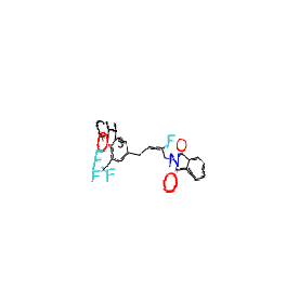 COc1ccc(C/C=C(/F)CN2C(=O)c3ccccc3C2=O)cc1C(F)(F)F